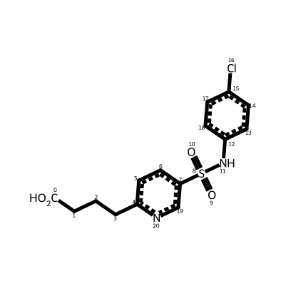 O=C(O)CCCc1ccc(S(=O)(=O)Nc2ccc(Cl)cc2)cn1